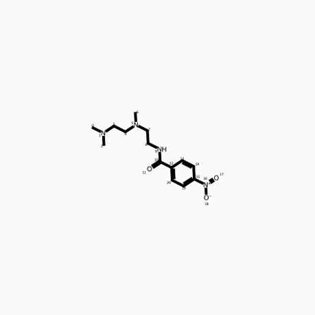 CN(C)CCN(C)CCNC(=O)c1ccc([N+](=O)[O-])cc1